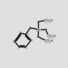 O=C(O)[CH2][Sn]([CH2]C(=O)O)([CH2]C(=O)O)[CH2]c1ccccc1